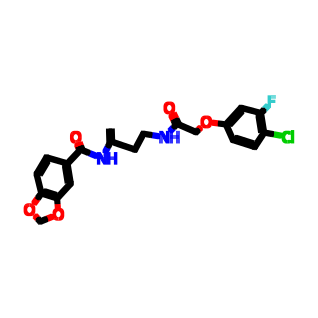 C=C(CCNC(=O)COc1ccc(Cl)c(F)c1)NC(=O)c1ccc2c(c1)OCO2